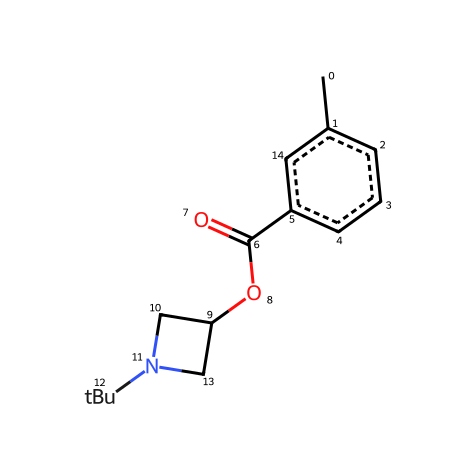 Cc1cccc(C(=O)OC2CN(C(C)(C)C)C2)c1